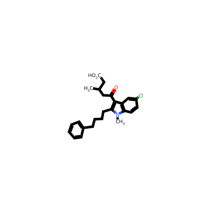 CC(CC(=O)O)CC(=O)c1c(CCCCc2ccccc2)n(C)c2ccc(Cl)cc12